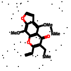 C=Cc1oc2c(OC)c3occc3c(OC)c2c(=O)c1CSC.CNC